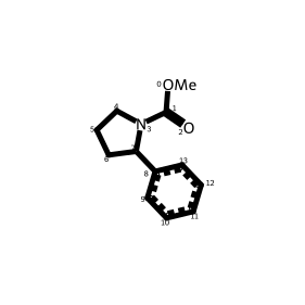 COC(=O)N1CCCC1c1ccccc1